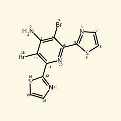 Nc1c(Br)c(-c2nccs2)nc(-c2nccs2)c1Br